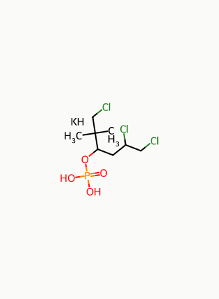 CC(C)(CCl)C(CC(Cl)CCl)OP(=O)(O)O.[KH]